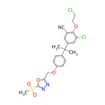 CC(C)(c1ccc(OCc2nnc(S(C)(=O)=O)o2)cc1)c1cc(Cl)c(OCCCl)c(C#N)c1